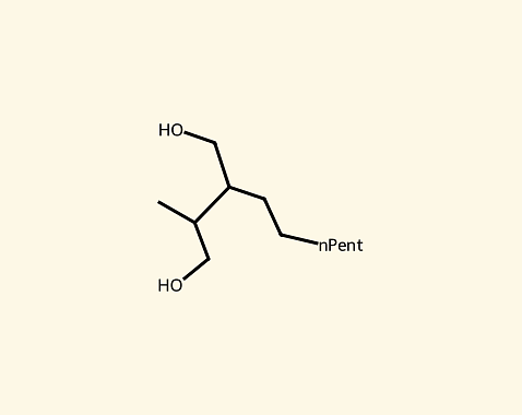 CCCCCCCC(CO)C(C)CO